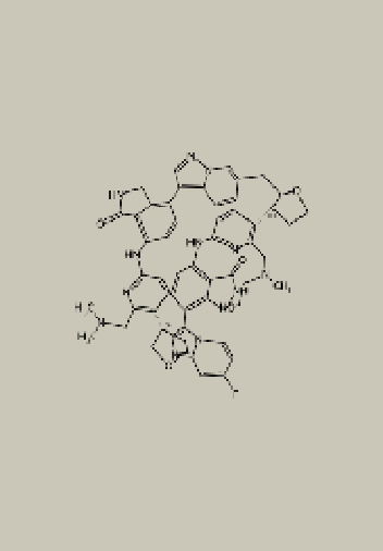 CN(C)Cc1nc(Nc2ccc(-c3cnn4cc(CC5OCC[C@@H]5c5ccc(Nc6ccc(-c7cnc8cc(F)ccn78)c7c6C(=O)NC7)nc5CN(C)CCO)ccc34)c3c2C(=O)NC3)ccc1[C@@H]1CCOC1